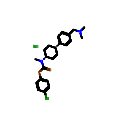 CN(C)Cc1ccc([C@H]2CC[C@@H](N(C)C(=S)Sc3ccc(Cl)cc3)CC2)cc1.Cl